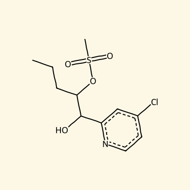 CCCC(OS(C)(=O)=O)C(O)c1cc(Cl)ccn1